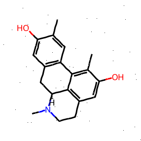 Cc1cc2c(cc1O)C[C@H]1c3c(cc(O)c(C)c3-2)CCN1C